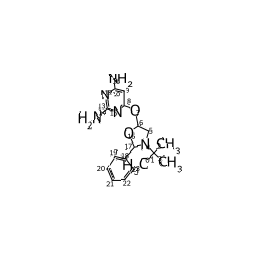 CC(C)(C)N1CC(Oc2cc(N)nc(N)n2)OC1c1ccccc1